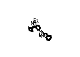 CCn1nc(C2CCC2)c2cc(N3CCNC(Cc4ccccc4)C3)ccc21